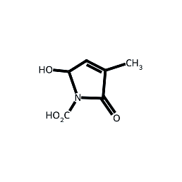 CC1=CC(O)N(C(=O)O)C1=O